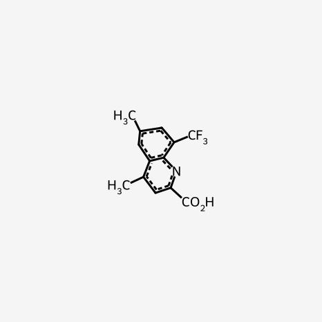 Cc1cc(C(F)(F)F)c2nc(C(=O)O)cc(C)c2c1